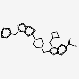 CC(=O)C(=O)c1ccc2nc(CN3CCN(c4ccc5cnn(Cc6ccccc6)c5n4)CC3)n(CC3CCO3)c2c1